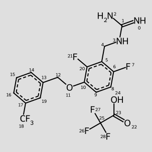 N=C(N)NCc1c(F)ccc(OCc2cccc(C(F)(F)F)c2)c1F.O=C(O)C(F)(F)F